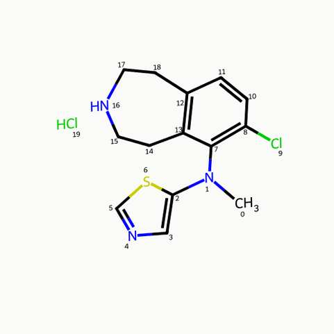 CN(c1cncs1)c1c(Cl)ccc2c1CCNCC2.Cl